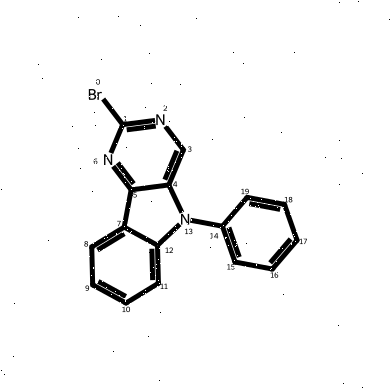 Brc1ncc2c(n1)c1ccccc1n2-c1ccccc1